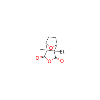 CCC12C(=O)OC(=O)C1(C)C1CCC2O1